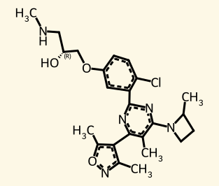 CNC[C@@H](O)COc1ccc(Cl)c(-c2nc(-c3c(C)noc3C)c(C)c(N3CCC3C)n2)c1